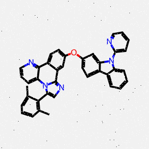 Cc1cccc(C)c1-c1cnc2c3cc(Oc4ccc5c6ccccc6n(-c6ccccn6)c5c4)ccc3c3ncccc3n12